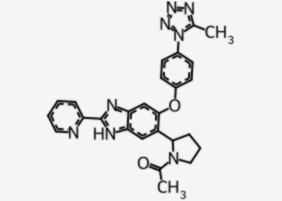 CC(=O)N1CCCC1c1cc2[nH]c(-c3ccccn3)nc2cc1Oc1ccc(-n2nnnc2C)cc1